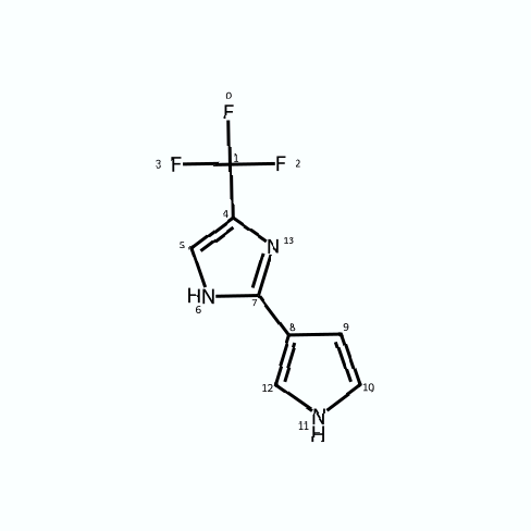 FC(F)(F)c1c[nH]c(-c2cc[nH]c2)n1